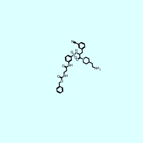 N#Cc1cccc(CC(NS(=O)(=O)c2cccc(NC(=O)CCNC(=O)OCc3ccccc3)c2)C(=O)N2CCC(CCN)CC2)c1